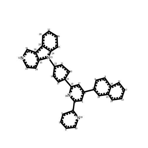 c1ccc(-c2cc(-c3ccc4ccccc4c3)cc(-c3ccc(-n4c5ccccc5c5cnccc54)cc3)n2)nc1